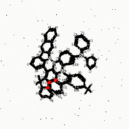 CC(C)(C)c1ccc(N2c3cc(N(c4ccccc4)c4ccccc4)ccc3B3c4c2cc2c(c4-c4cccc5c6cc7ccccc7cc6n3c45)C(C)(C)c3ccccc3-2)c(-c2ccccc2)c1